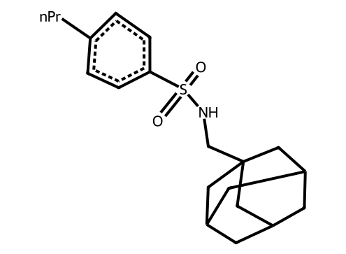 CCCc1ccc(S(=O)(=O)NCC23CC4CC(CC(C4)C2)C3)cc1